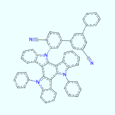 N#Cc1cc(-c2ccccc2)cc(-c2ccc(C#N)c(-n3c4ccccc4c4c5c(c6ccccc6n5-c5ccccc5)c5c(c6ccccc6n5-c5ccccc5)c43)c2)c1